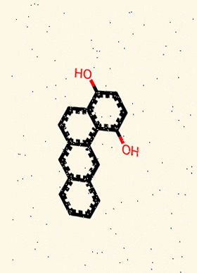 Oc1ccc(O)c2c1ccc1cc3ccccc3cc12